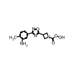 Cc1ccc(-c2noc(C3CN(C(=O)OO)C3)n2)cc1N